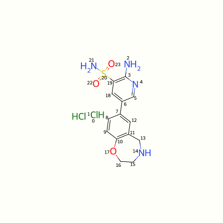 Cl.Cl.Nc1ncc(-c2ccc3c(c2)CNCCO3)cc1S(N)(=O)=O